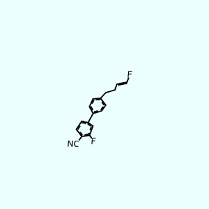 N#Cc1ccc(-c2ccc(CC/C=C/F)cc2)cc1F